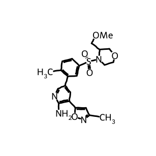 COCC1COCCN1S(=O)(=O)c1ccc(C)c(-c2cnc(N)c(-c3cc(C)no3)c2)c1